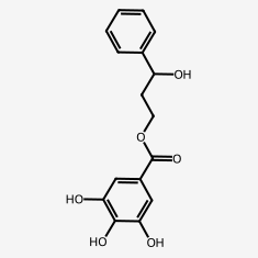 O=C(OCCC(O)c1ccccc1)c1cc(O)c(O)c(O)c1